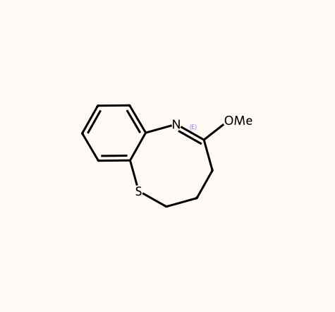 CO/C1=N/c2ccccc2SCCC1